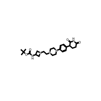 CC(C)(C)OC(=O)NC1CN(CCN2CCN(c3ccc(C4CCC(=O)NC4=O)cc3)CC2)C1